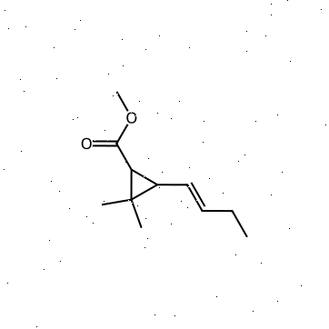 CCC=CC1C(C(=O)OC)C1(C)C